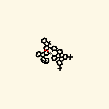 CC(C)(C)c1ccc2c(c1)-c1cc(C(C)(C)C)ccc1C21c2ccccc2-c2c(N(c3ccc4c(c3)C3(c5ccccc5-4)C4CC5CC(C4)CC3C5)c3ccccc3-c3cccc4c3C(C)(C)c3ccccc3-4)cccc21